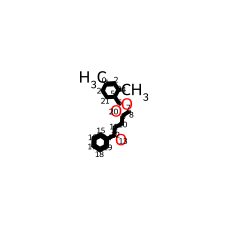 CC1=CC(C)C(C2OCC(CCC(=O)c3ccccc3)O2)CC1